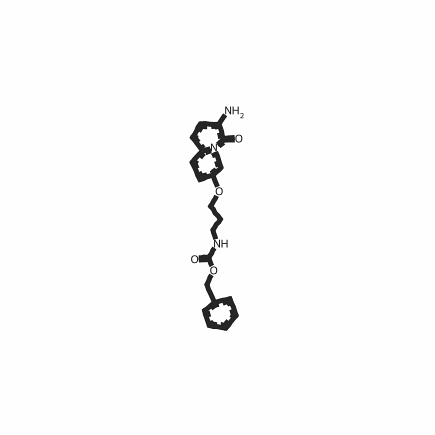 Nc1ccc2ccc(OCCCNC(=O)OCc3ccccc3)cn2c1=O